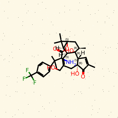 CC1=C[C@H]2[C@@]3(O)[C@H](C)C[C@]4(OC(=O)C(N)C(C)(C)c5ccc(C(F)(F)F)cc5)[C@@H]([C@@H]3C=C(CO)C[C@]2(O)C1=O)C4(C)C